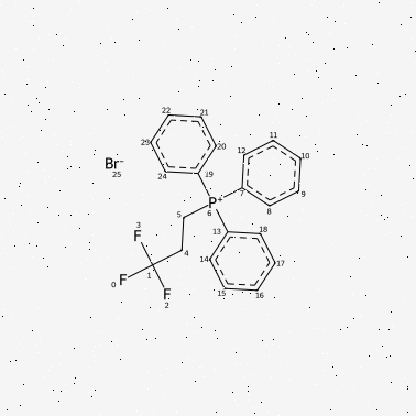 FC(F)(F)CC[P+](c1ccccc1)(c1ccccc1)c1ccccc1.[Br-]